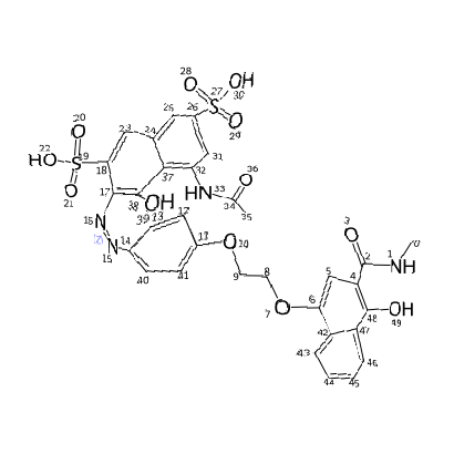 CNC(=O)c1cc(OCCOc2ccc(/N=N\c3c(S(=O)(=O)O)cc4cc(S(=O)(=O)O)cc(NC(C)=O)c4c3O)cc2)c2ccccc2c1O